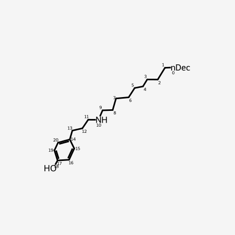 CCCCCCCCCCCCCCCCCCCNCCCc1ccc(O)cc1